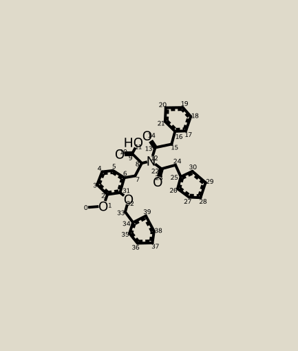 COc1cccc(CC(C(=O)O)N(C(=O)Cc2ccccc2)C(=O)Cc2ccccc2)c1OCc1ccccc1